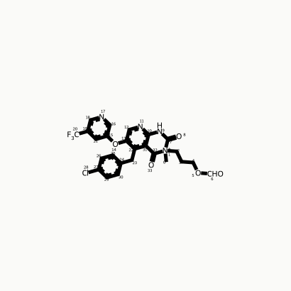 C[N+]1(CCCOC=O)C(=O)Nc2ncc(Oc3cncc(C(F)(F)F)c3)c(Cc3ccc(Cl)cc3)c2C1=O